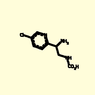 NC(CNC(=O)O)c1ccc(Cl)cn1